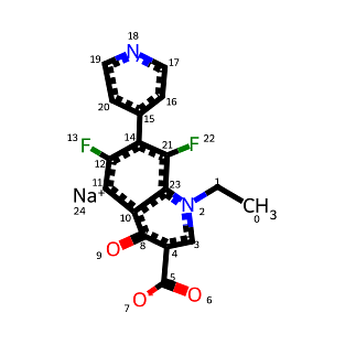 CCn1cc(C(=O)[O-])c(=O)c2cc(F)c(-c3ccncc3)c(F)c21.[Na+]